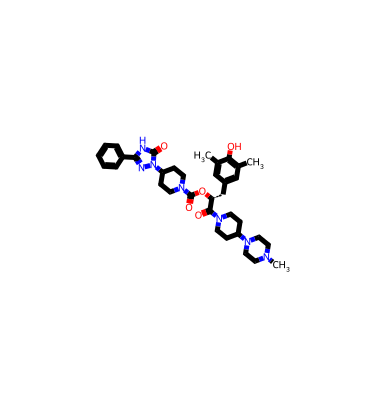 Cc1cc(C[C@@H](OC(=O)N2CCC(n3nc(-c4ccccc4)[nH]c3=O)CC2)C(=O)N2CCC(N3CCN(C)CC3)CC2)cc(C)c1O